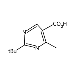 Cc1nc(C(C)(C)C)ncc1C(=O)O